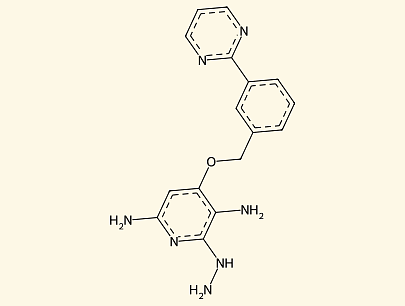 NNc1nc(N)cc(OCc2cccc(-c3ncccn3)c2)c1N